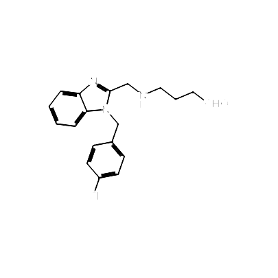 O=CCCCNCc1nc2ccccc2n1Cc1ccc(Cl)cc1